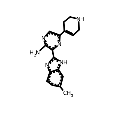 Cc1ccc2nc(-c3nc(C4=CCNCC4)cnc3N)[nH]c2c1